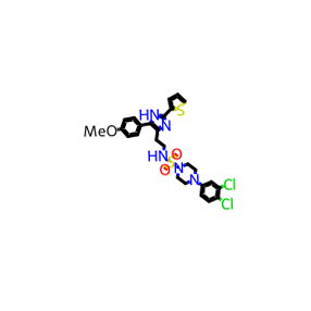 COc1ccc(-c2[nH]c(-c3cccs3)nc2CCNS(=O)(=O)N2CCN(c3ccc(Cl)c(Cl)c3)CC2)cc1